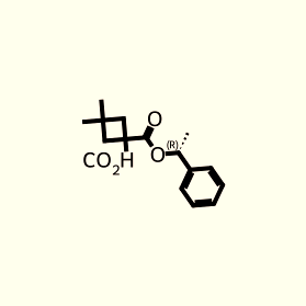 C[C@@H](OC(=O)C1(C(=O)O)CC(C)(C)C1)c1ccccc1